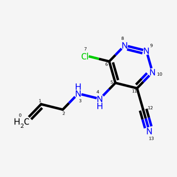 C=CCNNc1c(Cl)nnnc1C#N